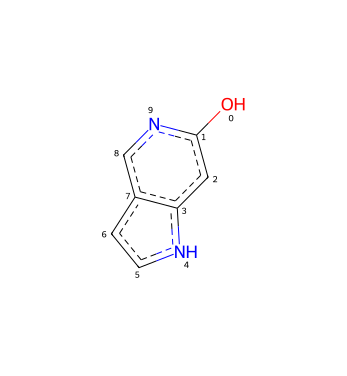 Oc1cc2[nH]ccc2cn1